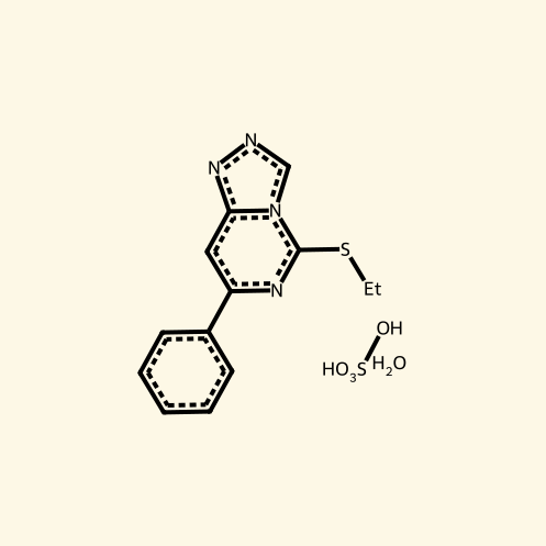 CCSc1nc(-c2ccccc2)cc2nncn12.O.O=S(=O)(O)O